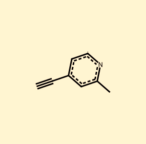 C#Cc1c[c]nc(C)c1